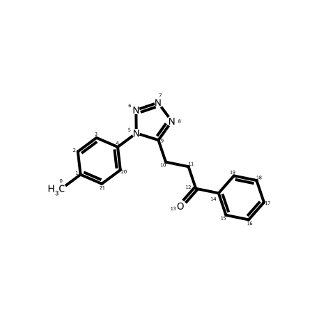 Cc1ccc(-n2nnnc2CCC(=O)c2ccccc2)cc1